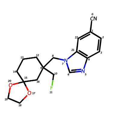 N#Cc1ccc2ncn(CC3(CF)CCCC4(C3)OCCO4)c2c1